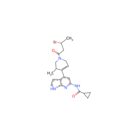 CC(Br)CC(=O)N1CC=C(c2cc(NC(=O)C3CC3)nc3[nH]ccc23)C(C)C1